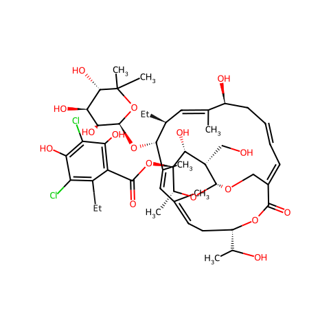 CCc1c(Cl)c(O)c(Cl)c(O)c1C(=O)O[C@H]1[C@H](O)[C@H](CO)[C@H](OC/C2=C\C=C\C[C@H](O)/C(C)=C/[C@H](CC)[C@@H](O[C@@H]3OC(C)(C)[C@@H](O)[C@H](O)[C@@H]3O)/C(C)=C/C(C)=C/C[C@@H](C(C)O)OC2=O)O[C@@H]1C